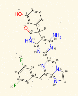 CC1(c2cccc(O)c2)C(=O)Nc2nc(-c3cn4ccnc4c(Cc4cc(F)cc(F)c4)n3)nc(N)c21